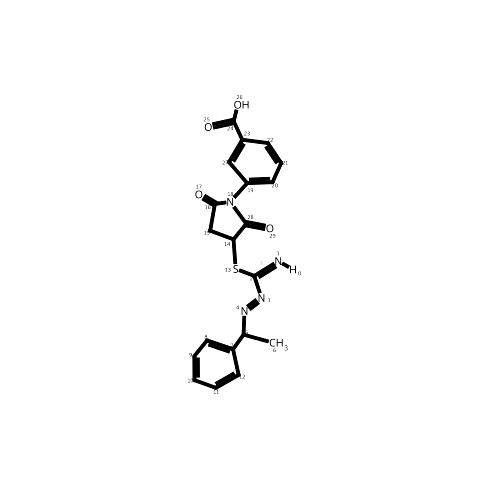 [H]/N=C(\N=NC(C)c1ccccc1)SC1CC(=O)N(c2cccc(C(=O)O)c2)C1=O